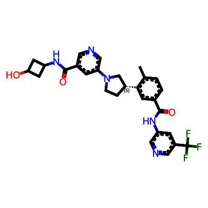 Cc1ccc(C(=O)Nc2cncc(C(F)(F)F)c2)cc1[C@@H]1CCN(c2cncc(C(=O)NC3CC(O)C3)c2)C1